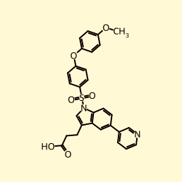 COc1ccc(Oc2ccc(S(=O)(=O)n3cc(CCC(=O)O)c4cc(-c5cccnc5)ccc43)cc2)cc1